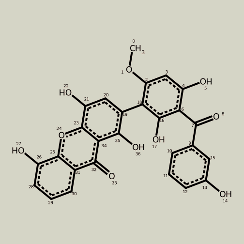 COc1cc(O)c(C(=O)c2cccc(O)c2)c(O)c1-c1cc(O)c2oc3c(O)cccc3c(=O)c2c1O